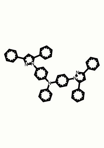 c1ccc(-c2cc(-c3ccccc3)n(-c3ccc(N(c4ccccc4)c4ccc(-n5nc(-c6ccccc6)cc5-c5ccccc5)cc4)cc3)n2)cc1